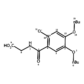 CCCCOc1cc(C(=O)NCC(=O)O)[n+]([O-])cc1OCCCC